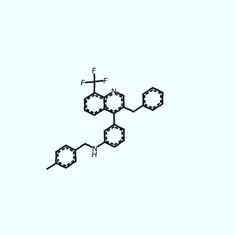 Cc1ccc(CNc2cccc(-c3c(Cc4ccccc4)cnc4c(C(F)(F)F)cccc34)c2)cc1